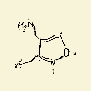 CC(C)c1nocc1N